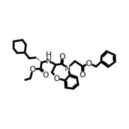 CCOC(=O)[C@H](CCC1CCCCC1)NC1COc2ccccc2N(CC(=O)OCc2ccccc2)C1=O